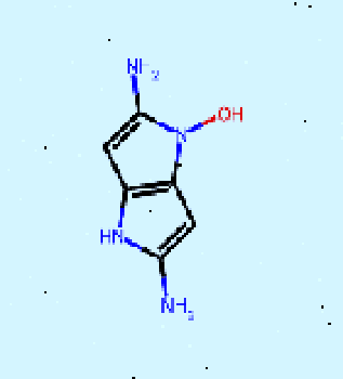 Nc1cc2c(cc(N)n2O)[nH]1